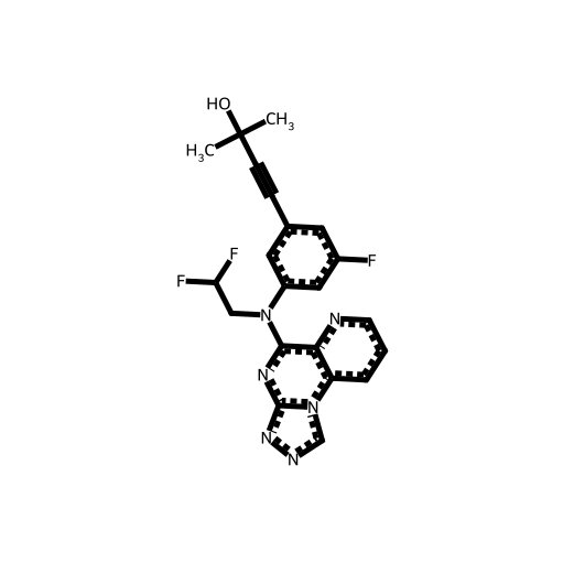 CC(C)(O)C#Cc1cc(F)cc(N(CC(F)F)c2nc3nncn3c3cccnc23)c1